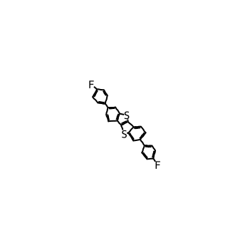 Fc1ccc(-c2ccc3c(c2)sc2c4ccc(-c5ccc(F)cc5)cc4sc32)cc1